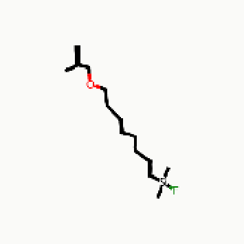 C=C(C)COCCCCCCCC[Si](C)(C)F